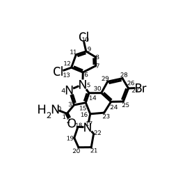 NC(=O)c1nn(-c2ccc(Cl)cc2Cl)c2c1C(N1CCCCC1)Cc1cc(Br)ccc1-2